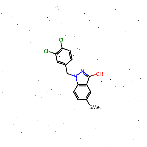 CSc1ccc2c(c1)c(O)nn2Cc1ccc(Cl)c(Cl)c1